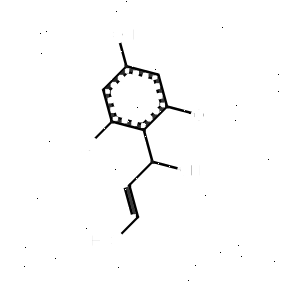 CC=CC(C)c1c(C)cc(O)cc1O